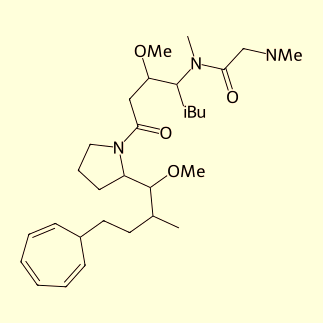 CCC(C)C(C(CC(=O)N1CCCC1C(OC)C(C)CCC1C=CC=CC=C1)OC)N(C)C(=O)CNC